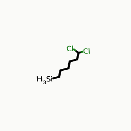 [SiH3]CCCCCC(Cl)Cl